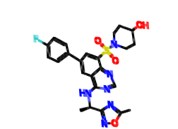 Cc1nc([C@@H](C)Nc2ncnc3c(S(=O)(=O)N4CCC(O)CC4)cc(-c4ccc(F)cc4)cc23)no1